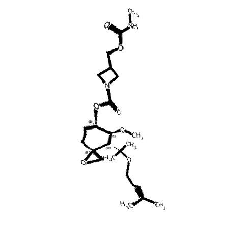 CNC(=O)OCC1CN(C(=O)O[C@@H]2CC[C@]3(CO3)[C@@H](C(C)(C)OCC=C(C)C)[C@@H]2OC)C1